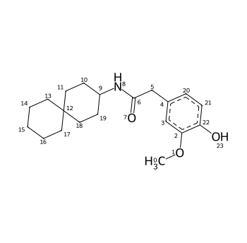 COc1cc(CC(=O)NC2CCC3(CCCCC3)CC2)ccc1O